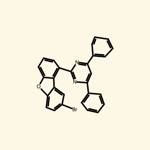 Brc1ccc2oc3cccc(-c4nc(-c5ccccc5)cc(-c5ccccc5)n4)c3c2c1